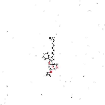 C=CCCCCCCCCCC12COC(O1)C(OCC)CC2OCC1CCCCC1